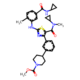 COC(=O)N1CCC(c2cccc(-c3nc(Nc4cc(C(=O)NC5CC5)ccc4C)sc3C(=O)N(C)C3CC3)c2)CC1